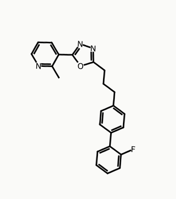 Cc1ncccc1-c1nnc(CCCc2ccc(-c3ccccc3F)cc2)o1